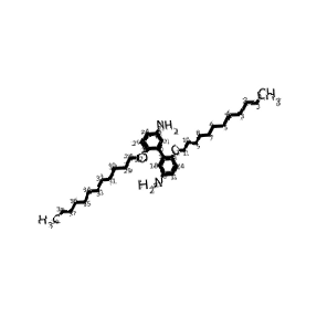 CCCCCCCCCCCCOc1ccc(N)cc1-c1cc(N)ccc1OCCCCCCCCCCCC